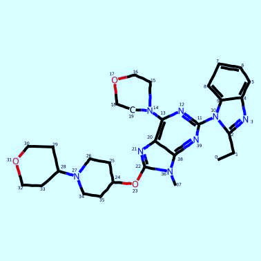 CCc1nc2ccccc2n1-c1nc(N2CCOCC2)c2nc(OC3CCN(C4CCOCC4)CC3)n(C)c2n1